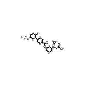 COc1ccc(F)c(-c2ccc(C(=O)Oc3cccc(C(CC(=O)O)C4CC4)c3)cc2)c1